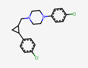 Clc1ccc(C2CC2CN2CCN(c3ccc(Cl)cc3)CC2)cc1